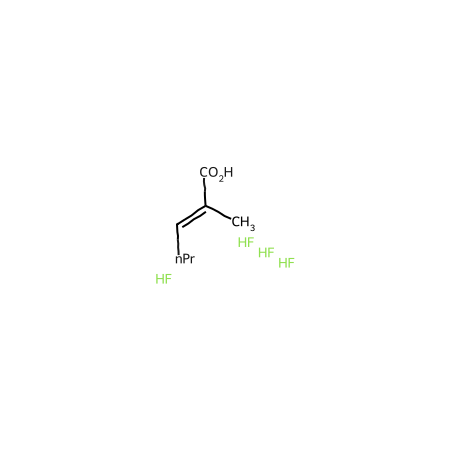 CCCC=C(C)C(=O)O.F.F.F.F